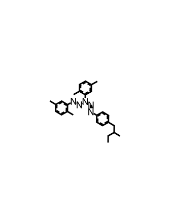 CCC(C)Cc1ccc(N=NN(N=Nc2cc(C)ccc2C)c2cc(C)ccc2C)cc1